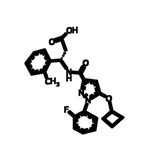 Cc1ccccc1[C@H](CC(=O)O)NC(=O)c1cc(OC2CCC2)n(-c2ccccc2F)n1